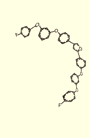 Fc1ccc(Oc2cccc(Oc3ccc(-c4coc(-c5ccc(Oc6cccc(Oc7ccc(F)cc7)c6)cc5)c4)cc3)c2)cc1